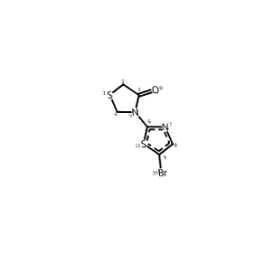 O=C1CSCN1c1ncc(Br)s1